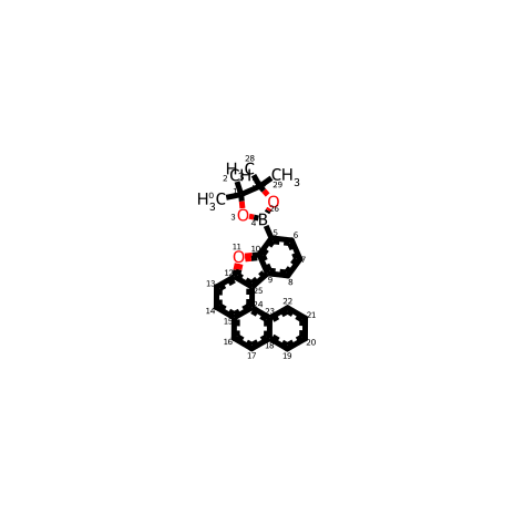 CC1(C)OB(c2cccc3c2oc2ccc4ccc5ccccc5c4c23)OC1(C)C